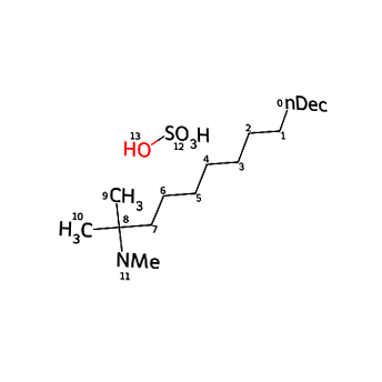 CCCCCCCCCCCCCCCCCC(C)(C)NC.O=S(=O)(O)O